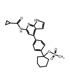 CS(=O)(=O)OC1(c2ccc(-c3cc(NC(=O)C4CC4)nc4[nH]ccc34)cc2)CCCCC1